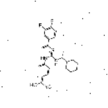 C=C(/C=C\C=C(\O)N=O)N/C(=N\C(=C)c1ccc(F)c(F)c1)N[C@H](C)C1CCCCC1